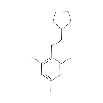 Cc1cc(C)c([CH]CC2CCCC2)c(C)c1